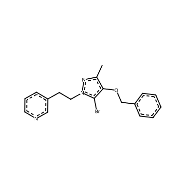 Cc1nn(CCc2cccnc2)c(Br)c1OCc1ccccc1